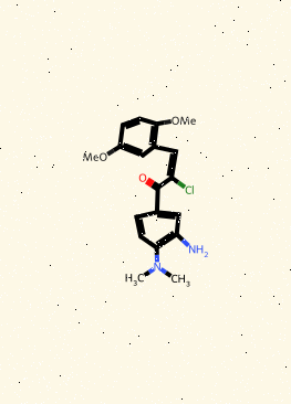 COc1ccc(OC)c(/C=C(/Cl)C(=O)c2ccc(N(C)C)c(N)c2)c1